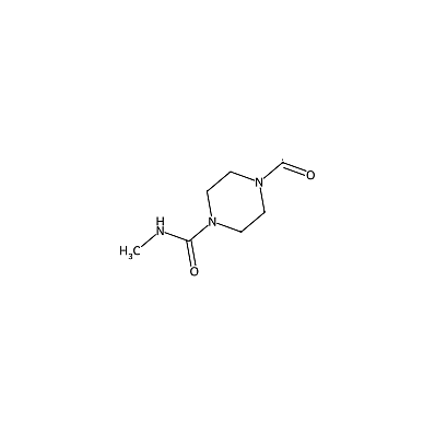 CNC(=O)N1CCN([C]=O)CC1